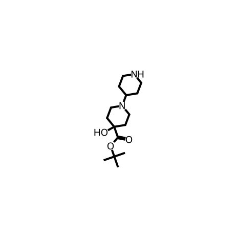 CC(C)(C)OC(=O)C1(O)CCN(C2CCNCC2)CC1